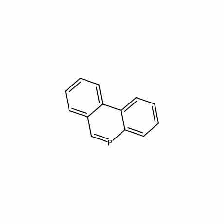 c1ccc2c(c1)cpc1ccccc12